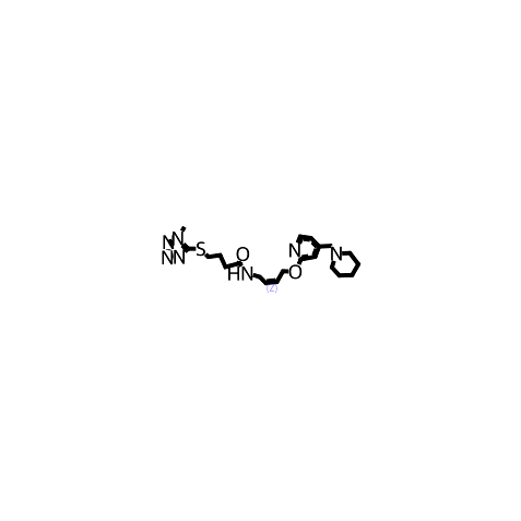 Cn1nnnc1SCCCC(=O)NC/C=C\COc1cc(CN2CCCCC2)ccn1